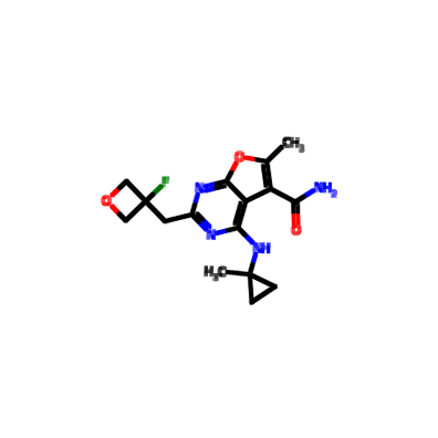 Cc1oc2nc(CC3(F)COC3)nc(NC3(C)CC3)c2c1C(N)=O